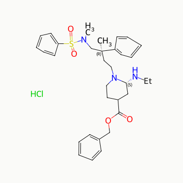 CCN[C@@H]1CC(C(=O)OCc2ccccc2)CCN1CC[C@@](C)(CN(C)S(=O)(=O)c1ccccc1)c1ccccc1.Cl